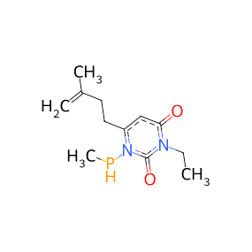 C=C(C)CCc1cc(=O)n(CC)c(=O)n1PC